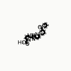 O=C(O)c1cccc(-c2nc3ccc(N4CCCC(C(=O)N5CCCC5)C4)nc3[nH]2)n1